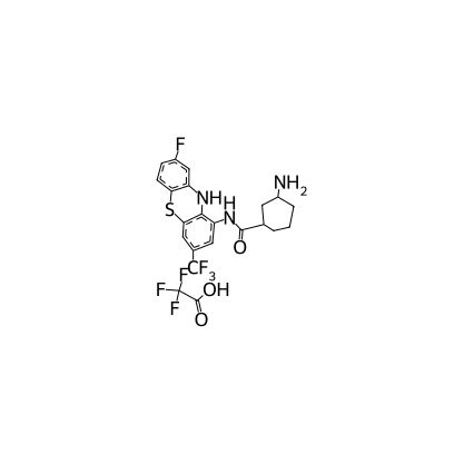 NC1CCCC(C(=O)Nc2cc(C(F)(F)F)cc3c2Nc2cc(F)ccc2S3)C1.O=C(O)C(F)(F)F